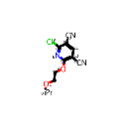 CC(C)OCCOc1nc(Cl)c(C#N)cc1C#N